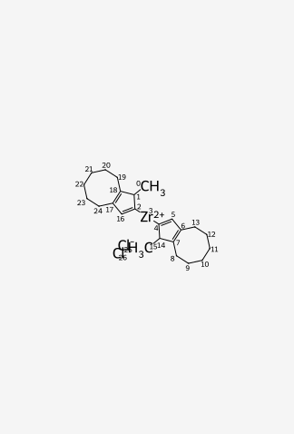 CC1[C]([Zr+2][C]2=CC3=C(CCCCCC3)C2C)=CC2=C1CCCCCC2.[Cl-].[Cl-]